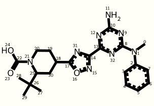 CN(c1ccccc1)c1nc(N)nc(-c2noc(C3CCN(C(=O)O)C(C(C)(C)C)C3)n2)n1